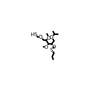 CCCSOC(COC(C)C)C(OC)C(COCS)OC